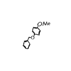 [CH2]Oc1ccc(OCc2ccccc2)cc1